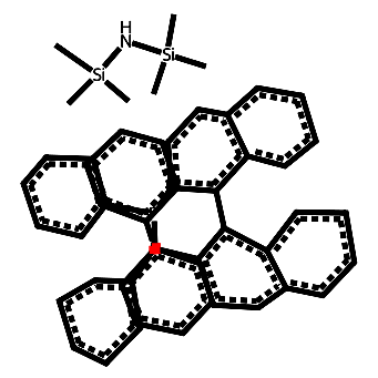 C[Si](C)(C)N[Si](C)(C)C.c1ccc(P(c2ccccc2)c2ccc3ccccc3c2-c2c(P(c3ccccc3)c3ccccc3)ccc3ccccc23)cc1